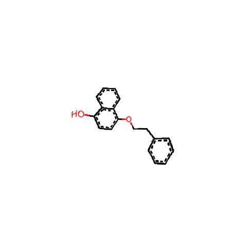 Oc1ccc(OCCc2ccccc2)c2ccccc12